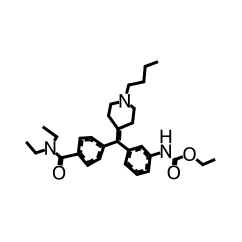 CCCCN1CCC(=C(c2ccc(C(=O)N(CC)CC)cc2)c2cccc(NC(=O)OCC)c2)CC1